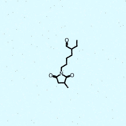 CCC(C=O)CCCCN1C(=O)CC(C)C1=O